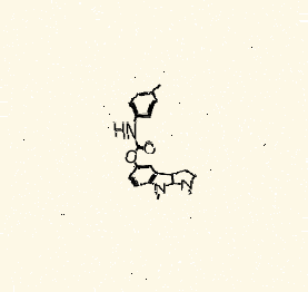 Cc1ccc(NC(=O)Oc2ccc3c(c2)C2CCN(C)C2N3C)cc1